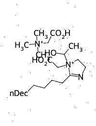 CCCCCCCCCCCCCCC1=NCC[N+]1(CC(=O)O)C(C)O.C[N+](C)(C)CC(=O)O